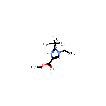 CCOC(=O)c1cn(CC)c(C(C)(C)C)n1